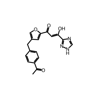 CC(=O)c1ccc(Cc2coc(C(=O)C=C(O)c3nc[nH]n3)c2)cc1